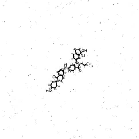 C=CCn1c(=O)c2cnc(Nc3ccc4c(c3)CCN(C3CCC(O)CC3)C4=O)nc2n1-c1ccc2c(n1)[C@@](O)(CC)CC2